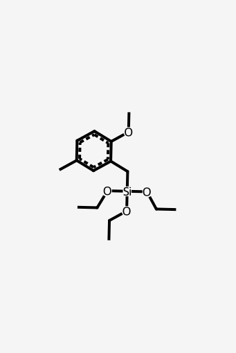 CCO[Si](Cc1cc(C)ccc1OC)(OCC)OCC